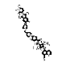 CC1(C)[C@H](NC(=O)c2cnc(N3CCC(CN4CCN(c5cc6c(cc5F)C(=O)N(C5CCC(=O)NC5=O)C6=O)CC4)CC3)c(F)c2)C(C)(C)[C@H]1Oc1ccc(C#N)c2ncccc12